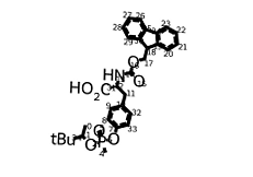 CC(OP(C)(=O)Oc1ccc(C[C@H](NC(=O)OCC2c3ccccc3-c3ccccc32)C(=O)O)cc1)C(C)(C)C